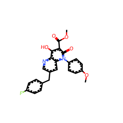 COC(=O)c1c(O)c2ncc(Cc3ccc(F)cc3)cc2n(-c2ccc(OC)cc2)c1=O